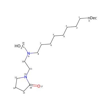 CCCCCCCCCCCCCCCCCCN(CCN1CCCC1=O)C(=O)O